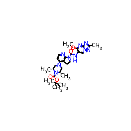 COc1nc2nc(C)nn2cc1NC(=O)N1CCc2c(N3C[C@@H](C)N(C(=O)OC(C)(C)C)[C@@H](C)C3)ccnc21